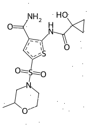 CC1CN(S(=O)(=O)c2cc(C(N)=O)c(NC(=O)C3(O)CC3)s2)CCO1